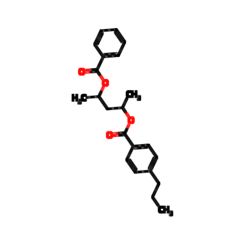 CCCc1ccc(C(=O)OC(C)CC(C)OC(=O)c2ccccc2)cc1